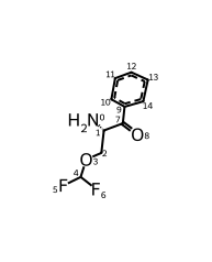 N[C@@H](COC(F)F)C(=O)c1ccccc1